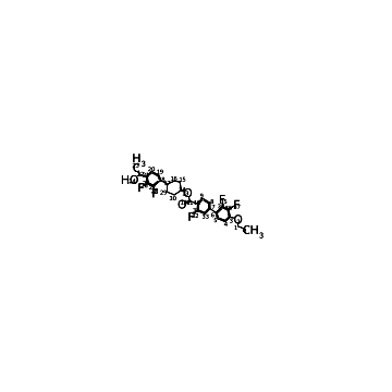 CCOc1ccc(-c2ccc(C(=O)OC3CCC(c4ccc(C(C)O)c(F)c4F)CC3)c(F)c2)c(F)c1F